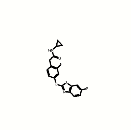 O=C(Cc1ccc(Oc2nc3ccc(F)cc3s2)cc1F)NC1CC1